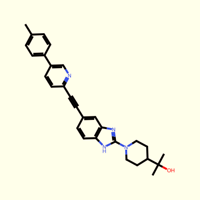 Cc1ccc(-c2ccc(C#Cc3ccc4[nH]c(N5CCC(C(C)(C)O)CC5)nc4c3)nc2)cc1